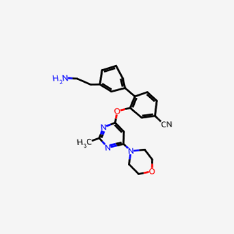 Cc1nc(Oc2cc(C#N)ccc2-c2cccc(CCN)c2)cc(N2CCOCC2)n1